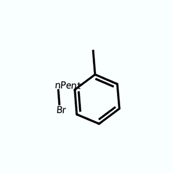 CCCCCBr.Cc1ccccc1